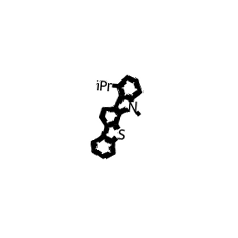 CC(C)c1cccc2c1c1ccc3c4ccccc4sc3c1n2C